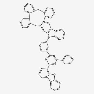 c1ccc(-c2nc(-c3cccc(-n4c5ccccc5c5cc6c(cc54)Cc4ccccc4-c4ccccc4Cc4ccccc4-6)c3)nc(-c3cccc4c3oc3ccccc34)n2)cc1